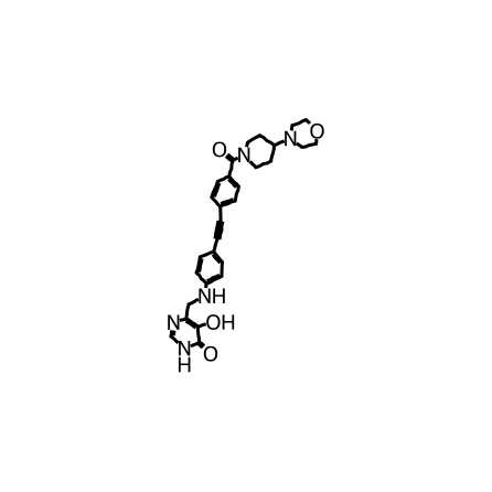 O=C(c1ccc(C#Cc2ccc(NCc3nc[nH]c(=O)c3O)cc2)cc1)N1CCC(N2CCOCC2)CC1